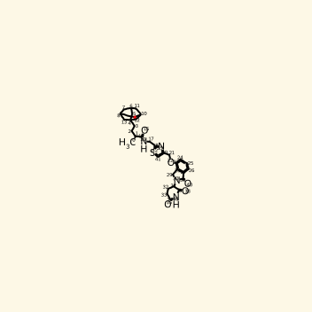 CC(CCC12CC3CC(CC(C3)C1)C2)C(=O)NCc1nc(COc2cccc3c2CN(C2CCC(=O)NC2=O)C3=O)cs1